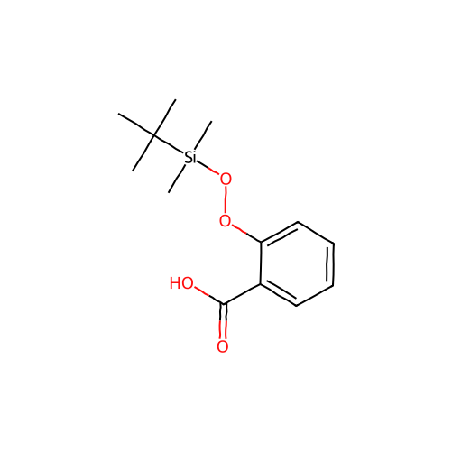 CC(C)(C)[Si](C)(C)OOc1ccccc1C(=O)O